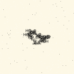 CC(C)=CCC/C(C)=C/CC[C@@]1(C)Oc2c(c(O)cc3c2CN(CCC[C@@H](C(=O)O)N2Cc4c(cc(OC(=O)N5CCOCC5)c5c4O[C@](C)(CC/C=C(\C)CCC=C(C)C)[C@@H](O)C5)C2=O)C3=O)C[C@@H]1O